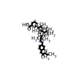 CCc1nc2cc(/C=C/C(C)(C)C(=O)N[C@H](C(=O)NC(C)C(O)N3CCCC(C(=O)O)N3)C(C)C)ccc2cc1C